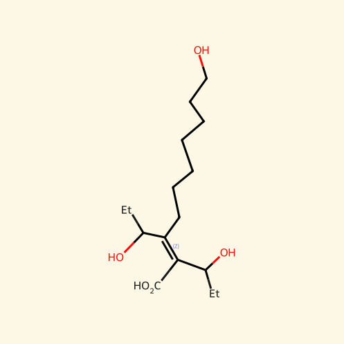 CCC(O)/C(CCCCCCCO)=C(\C(=O)O)C(O)CC